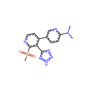 CN(C)c1ccc(-c2ccnc(S(C)(=O)=O)c2-c2nn[nH]n2)cn1